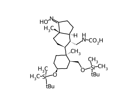 CC(C)(C)[Si](C)(C)OC[C@H]1C[C@@H](O[Si](C)(C)C(C)(C)C)CC[C@@]1(C)[C@H]1CC[C@]2(C)/C(=N\O)CC[C@H]2[C@@H]1CNC(=O)O